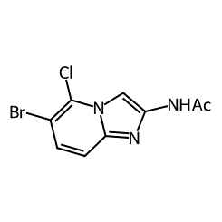 CC(=O)Nc1cn2c(Cl)c(Br)ccc2n1